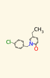 CCc1ccc(=O)n(Cc2ccc(Cl)cc2)c1